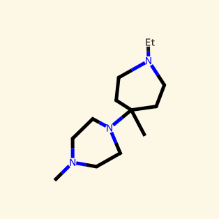 CCN1CCC(C)(N2CCN(C)CC2)CC1